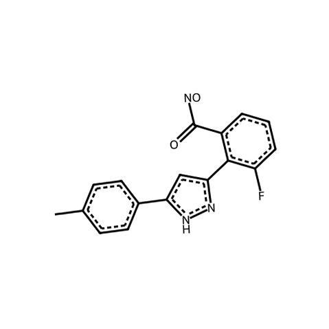 Cc1ccc(-c2cc(-c3c(F)cccc3C(=O)N=O)n[nH]2)cc1